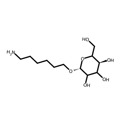 NCCCCCCO[C@@H]1OC(CO)[C@@H](O)C(O)C1O